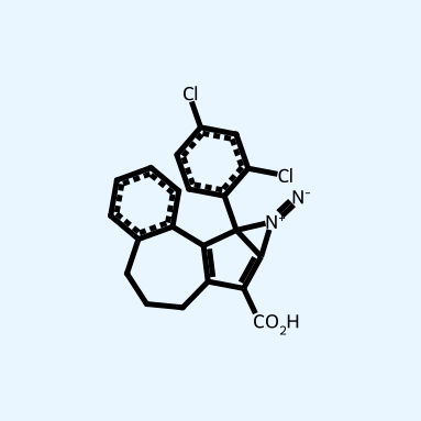 [N-]=[N+]1C2=C(C(=O)O)C3=C(c4ccccc4CCC3)C21c1ccc(Cl)cc1Cl